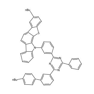 CCCCc1ccc(-c2cccc(-c3nc(-c4ccccc4)nc(-c4cccc(-n5c6ccccc6c6ccc7c8cc(CCCC)ccc8sc7c65)c4)n3)c2)cc1